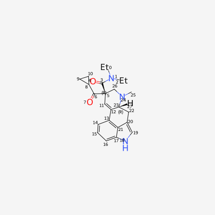 CCN(CC)C(=O)[C@]1(C(=O)C2CC2)C=C2c3cccc4[nH]cc(c34)C[C@H]2N(C)C1